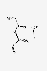 C=CC(=O)OC(O)C=C.CC(=O)O